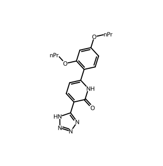 CCCOc1ccc(-c2ccc(-c3nnn[nH]3)c(=O)[nH]2)c(OCCC)c1